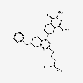 COC(=O)C1CN(c2nc(OCCN(C)C)nc3c2CCN(Cc2ccccc2)C3)CCN1C(=O)OC(C)(C)C